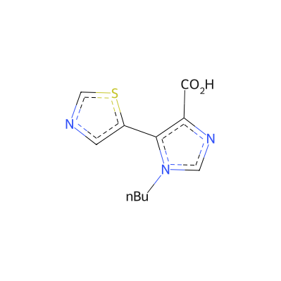 CCCCn1cnc(C(=O)O)c1-c1cncs1